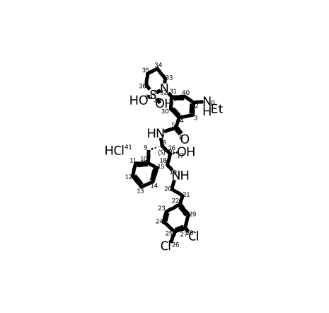 CCNc1cc(C(=O)N[C@@H](Cc2ccccc2)[C@H](O)CNCCc2ccc(Cl)c(Cl)c2)cc(N2CCCCS2(O)O)c1.Cl